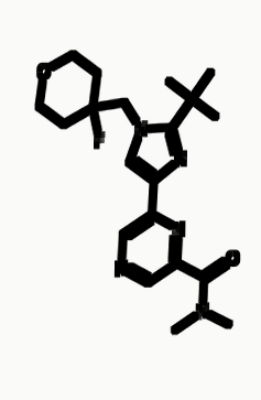 CN(C)C(=O)c1cncc(-c2cn(CC3(F)CCOCC3)c(C(C)(C)C)n2)n1